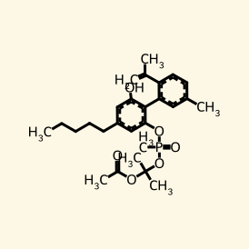 C=C(C)c1ccc(C)cc1-c1c(O)cc(CCCCC)cc1OP(C)(=O)OC(C)(C)OC(C)=O